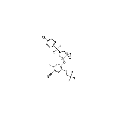 N#Cc1cc(OCC(F)(F)F)c(O[C@H]2CN(S(=O)(=O)c3ccc(Cl)cn3)C[C@]23CO3)cc1F